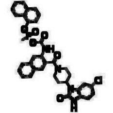 CP(=O)(OC(=O)Nc1cc2ccccc2cc1C(=O)N1CCC(n2c(=O)[nH]c3ccc(Cl)cc32)CC1)Oc1cccc2ccccc12